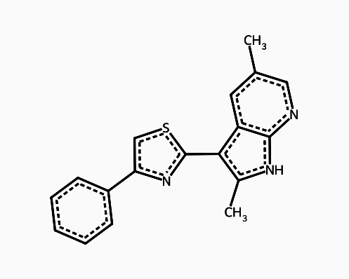 Cc1cnc2[nH]c(C)c(-c3nc(-c4ccccc4)cs3)c2c1